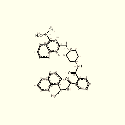 C[C@H](NC(=O)c1ccccc1C(=O)N[C@H]1CC[C@@H](Nc2nc(N(C)C)c3ccccc3n2)CC1)c1cccc2ccccc12